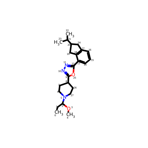 CCC(OC)N1CCC(c2nnc(-c3cccc4c3CC(C(C)C)C4)o2)CC1